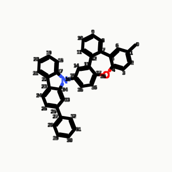 Cc1ccc2c(c1)-c1ccccc1-c1cc(-n3c4ccccc4c4ccc(-c5ccccc5)cc43)ccc1O2